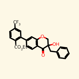 CCOC(=O)c1ccc(C(F)(F)F)cc1-c1ccc2c(c1)OCC(O)(Cc1ccccc1)C2=O